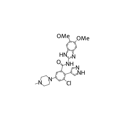 COc1cc2nc(NC(=O)c3cc(N4CCN(C)CC4)cc(Cl)c3-c3cn[nH]c3)[nH]c2cc1OC